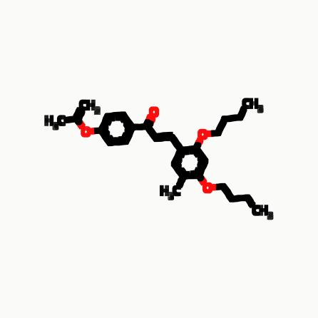 C=C(C)Oc1ccc(C(=O)C=Cc2cc(C)c(OCCCC)cc2OCCCC)cc1